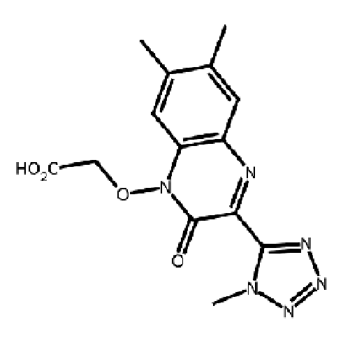 Cc1cc2nc(-c3nnnn3C)c(=O)n(OCC(=O)O)c2cc1C